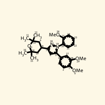 COc1ccc(-c2cc(C3CC(C)(C)OC(C)(C)C3)nn2-c2ccccc2OC)cc1OC